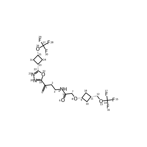 C=C(CCNC(=O)CO[C@H]1C[C@@H](COC(F)(F)F)C1)c1nnc([C@H]2C[C@@H](OC(F)(F)F)C2)o1